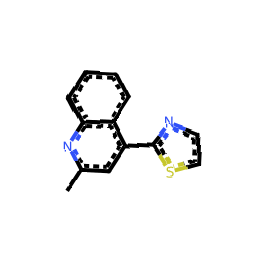 Cc1cc(-c2nccs2)c2ccccc2n1